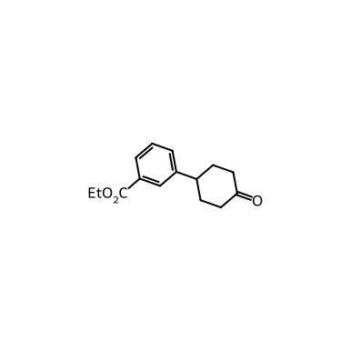 CCOC(=O)c1cccc(C2CCC(=O)CC2)c1